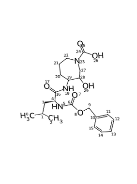 CC(C)C[C@H](NC(=O)OCc1ccccc1)C(=O)NC1CCCN(C(=O)O)CC1O